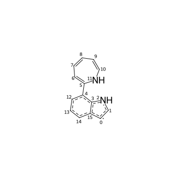 [c]1c[nH]c2c(C3=CC=CC=CN3)cccc12